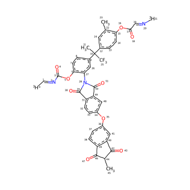 [3H]/C=N/C(=O)Oc1ccc(C(C)(c2ccc(OC(=O)/C=N/[3H])c(C)c2)C(F)(F)F)cc1N1C(=O)c2ccc(Oc3ccc4c(c3)C(=O)C(C)C4=O)cc2C1=O